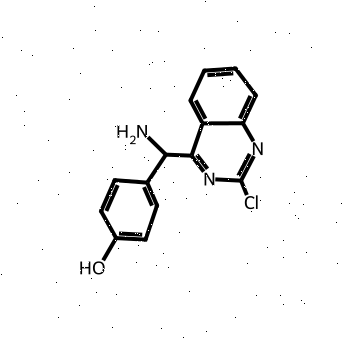 NC(c1ccc(O)cc1)c1nc(Cl)nc2ccccc12